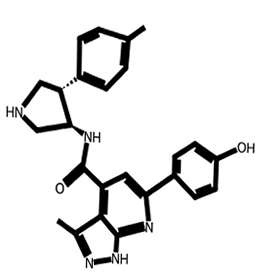 Cc1ccc([C@H]2CNC[C@@H]2NC(=O)c2cc(-c3ccc(O)cc3)nc3[nH]nc(C)c23)cc1